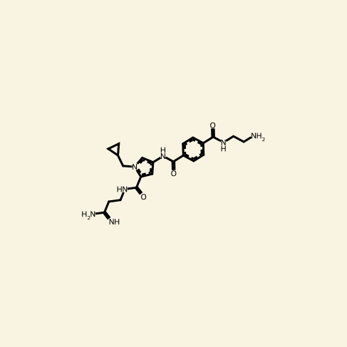 N=C(N)CCNC(=O)c1cc(NC(=O)c2ccc(C(=O)NCCN)cc2)cn1CC1CC1